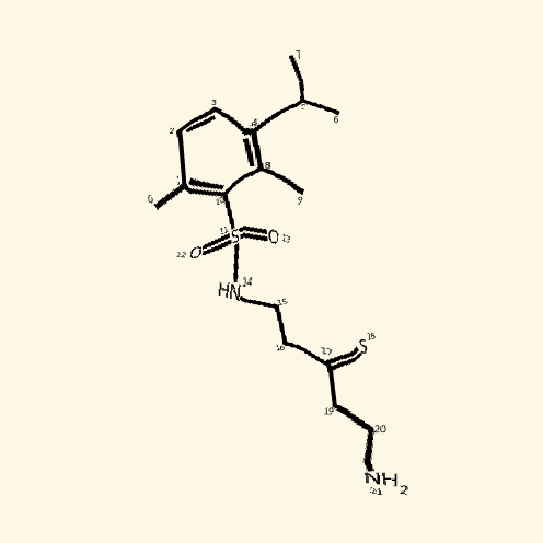 Cc1ccc(C(C)C)c(C)c1S(=O)(=O)NCCC(=S)CCN